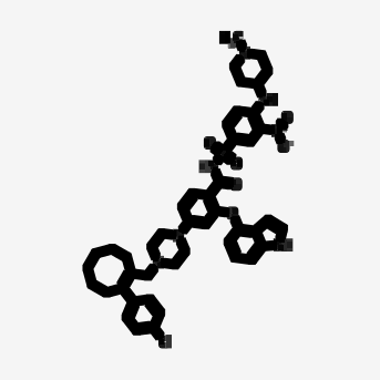 CN1CCC(Nc2ccc(S(=O)(=O)NC(=O)c3ccc(N4CCN(C/C5=C(\c6ccc(Cl)cc6)CCCCCC5)CC4)cc3Oc3cccc4[nH]ccc34)cc2[N+](=O)[O-])CC1